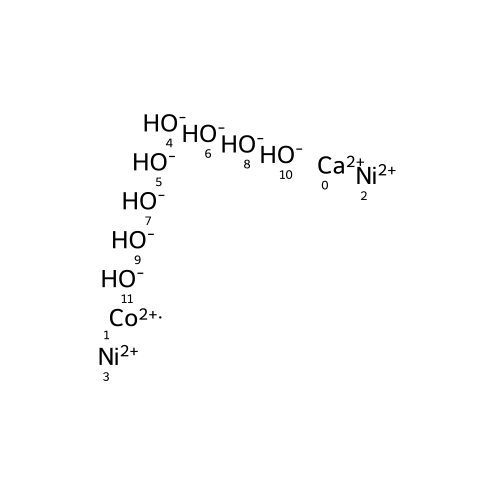 [Ca+2].[Co+2].[Ni+2].[Ni+2].[OH-].[OH-].[OH-].[OH-].[OH-].[OH-].[OH-].[OH-]